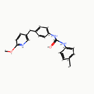 COc1ccc(Cc2ccc(NC(=O)Nc3ccc(C)cc3)cc2)cn1